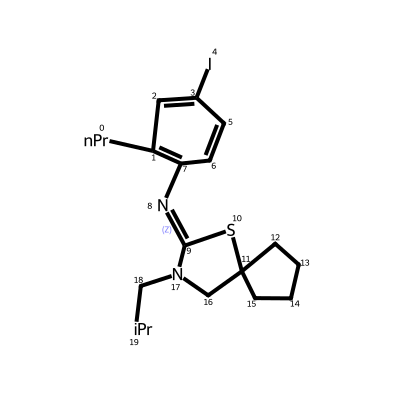 CCCc1cc(I)ccc1/N=C1\SC2(CCCC2)CN1CC(C)C